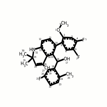 COc1cc(F)c(F)cc1-c1ccc2c(c1C(O)c1cc(F)ccc1C)C(C)=CC(C)(C)N2